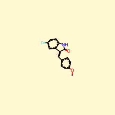 COc1ccc(/C=C2\C(=O)Nc3ccc(F)cc32)cc1